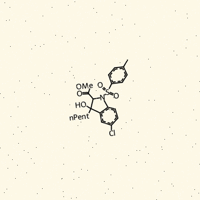 CCCCCC1(O)c2cc(Cl)ccc2N(S(=O)(=O)c2ccc(C)cc2)C1C(=O)OC